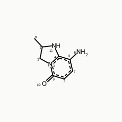 CC1Cn2c(c(N)ccc2=O)N1